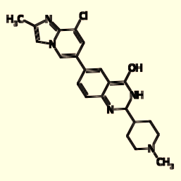 Cc1cn2cc(-c3ccc4c(c3)=C(O)NC(C3CCN(C)CC3)N=4)cc(Cl)c2n1